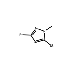 CCc1[c]c(CC)n(C)n1